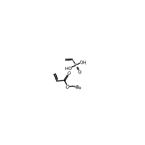 C=CC(=O)OCCCC.C=CP(=O)(O)O